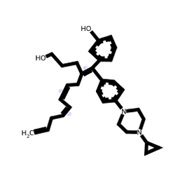 C=CC/C=C\C=C/C/C(CCCO)=C(\c1ccc(N2CCN(C3CC3)CC2)cc1)c1cccc(O)c1